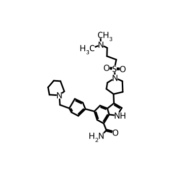 CN(C)CCCS(=O)(=O)N1CCC(c2c[nH]c3c(C(N)=O)cc(-c4ccc(CN5CCCCC5)cc4)cc23)CC1